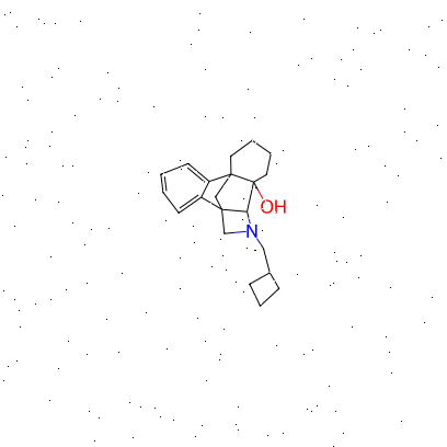 OC12CCCCC13CC1(CN(CC4CCC4)C12)c1ccccc13